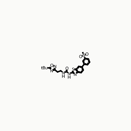 CC(C)(C)c1nc(CCNC(=O)Nc2nc3ccc(-c4cccc(S(C)(=O)=O)c4)cc3s2)no1